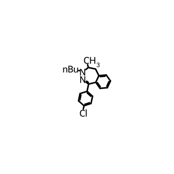 CCCCN1N=C(c2ccc(Cl)cc2)c2ccccc2CC1C